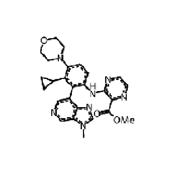 COC(=O)c1nccnc1Nc1ccc(N2CCOCC2)c(C2CC2)c1-c1cncc2c1ncn2C